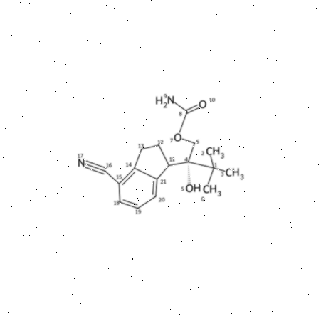 CC(C)(C)[C@](O)(COC(N)=O)C1CCc2c(C#N)cccc21